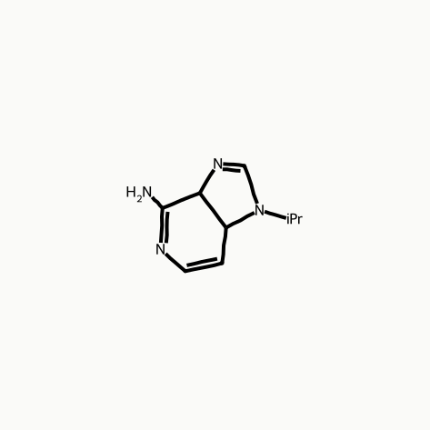 CC(C)N1C=NC2C(N)=NC=CC21